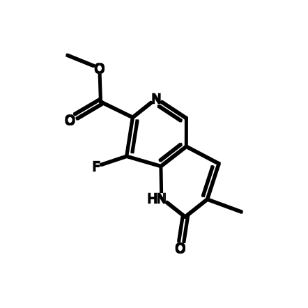 COC(=O)c1ncc2cc(C)c(=O)[nH]c2c1F